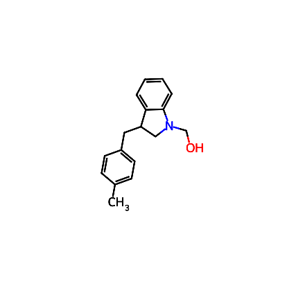 Cc1ccc(CC2CN(CO)c3ccccc32)cc1